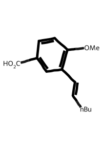 CCCCC=Cc1cc(C(=O)O)ccc1OC